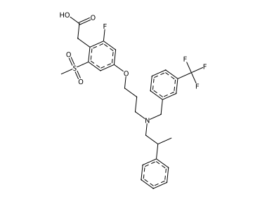 CC(CN(CCCOc1cc(F)c(CC(=O)O)c(S(C)(=O)=O)c1)Cc1cccc(C(F)(F)F)c1)c1ccccc1